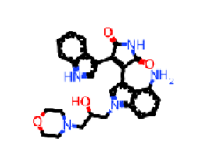 Nc1cccc2c1c(C1=C(c3c[nH]c4ccccc34)C(=O)NC1=O)cn2CC(O)CN1CCOCC1